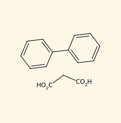 O=C(O)CC(=O)O.c1ccc(-c2ccccc2)cc1